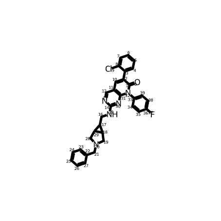 O=c1c(-c2ccccc2Cl)cc2cnc(NCC3C4CN(Cc5ccccc5)CC34)nc2n1-c1ccc(F)cc1